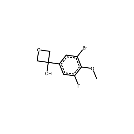 COc1c(F)cc(C2(O)COC2)cc1Br